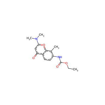 CCOC(=O)Nc1ccc2c(=O)cc(N(C)C)oc2c1C